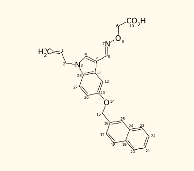 C=CCn1cc(C=NOCC(=O)O)c2cc(OCc3ccc4ccccc4c3)ccc21